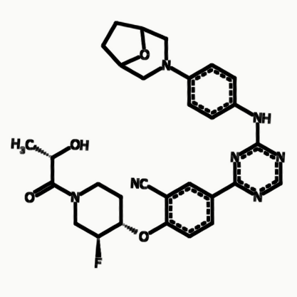 C[C@H](O)C(=O)N1CC[C@H](Oc2ccc(-c3ncnc(Nc4ccc(N5CC6CCC(C5)O6)cc4)n3)cc2C#N)[C@@H](F)C1